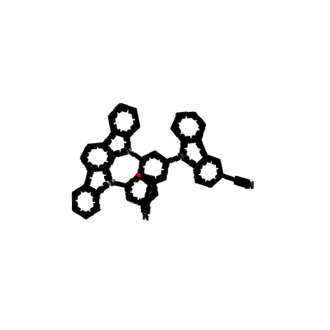 N#Cc1cc(-n2c3ccccc3c3cc(C#N)ccc32)cc(-n2c3ccccc3c3ccc4c5ccccc5n(-c5ccccc5)c4c32)c1